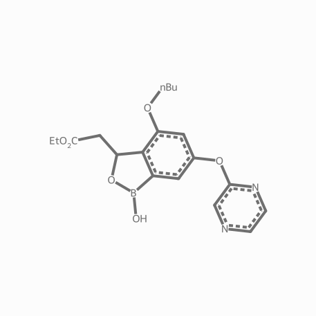 CCCCOc1cc(Oc2cnccn2)cc2c1C(CC(=O)OCC)OB2O